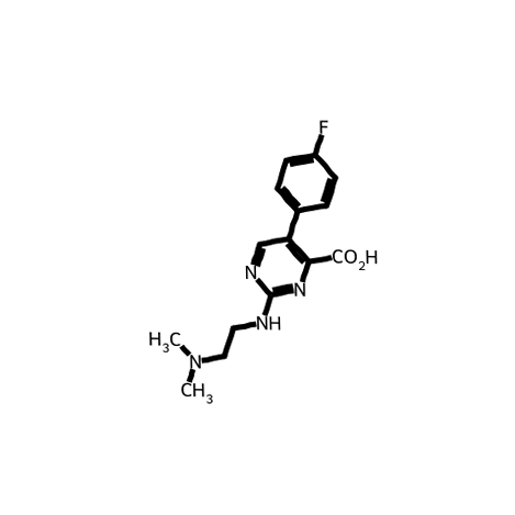 CN(C)CCNc1ncc(-c2ccc(F)cc2)c(C(=O)O)n1